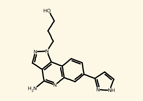 Nc1nc2cc(-c3cc[nH]n3)ccc2c2c1cnn2CCCO